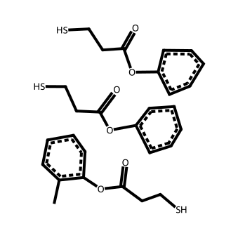 Cc1ccccc1OC(=O)CCS.O=C(CCS)Oc1ccccc1.O=C(CCS)Oc1ccccc1